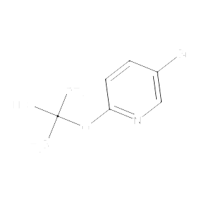 BC(B)(C)Oc1ccc(Br)cn1